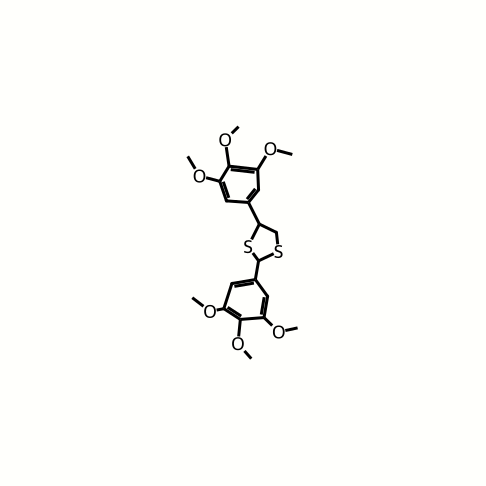 COc1cc(C2CSC(c3cc(OC)c(OC)c(OC)c3)S2)cc(OC)c1OC